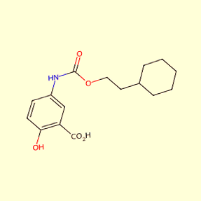 O=C(Nc1ccc(O)c(C(=O)O)c1)OCCC1CCCCC1